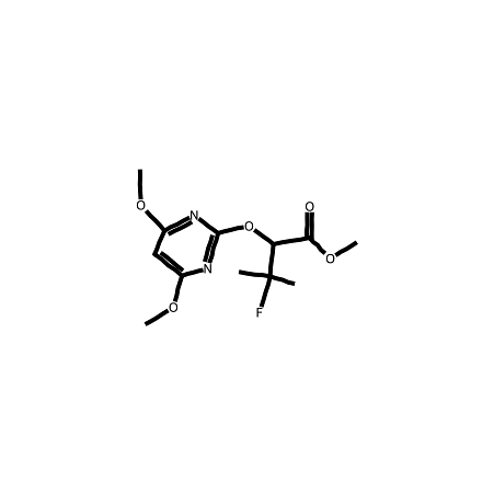 COC(=O)C(Oc1nc(OC)cc(OC)n1)C(C)(C)F